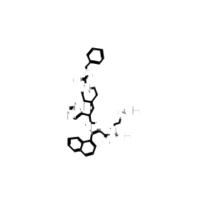 COCCN(C)C(=O)c1sc(C(CC2CCN(C(=O)OCc3ccccc3)CC2)c2cnc[nH]2)nc1-c1cccc2ccccc12